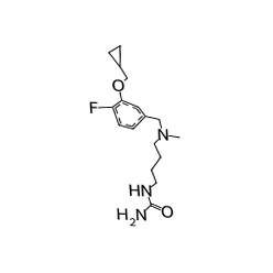 CN(CCCCNC(N)=O)Cc1ccc(F)c(OCC2CC2)c1